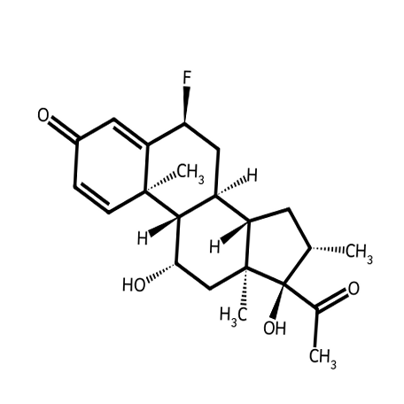 CC(=O)[C@@]1(O)[C@@H](C)C[C@H]2[C@@H]3C[C@H](F)C4=CC(=O)C=C[C@]4(C)[C@H]3[C@@H](O)C[C@@]21C